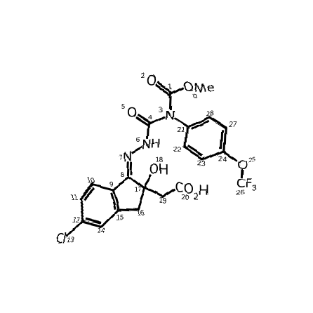 COC(=O)N(C(=O)NN=C1c2ccc(Cl)cc2CC1(O)CC(=O)O)c1ccc(OC(F)(F)F)cc1